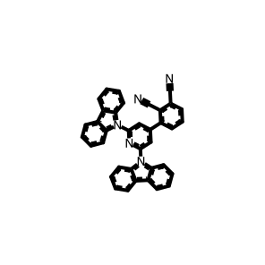 N#Cc1cccc(-c2cc(-n3c4ccccc4c4ccccc43)nc(-n3c4ccccc4c4ccccc43)c2)c1C#N